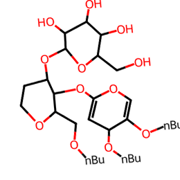 CCCCOCC1OCCC(OC2OC(CO)C(O)C(O)C2O)C1OC1=CC(OCCCC)C(OCCCC)=CO1